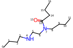 CCCCNCCN(CCCC)C(=O)CCC